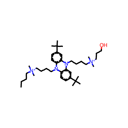 CCCC[N+](C)(C)CCCCN1c2ccc(C(C)(C)C)cc2N(CCCC[N+](C)(C)CCCO)c2cc(C(C)(C)C)ccc21